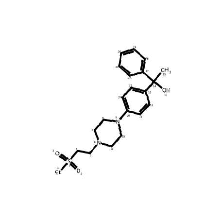 CCS(=O)(=O)CCN1CCN(c2ccc(C(C)(O)c3ccccc3)cc2)CC1